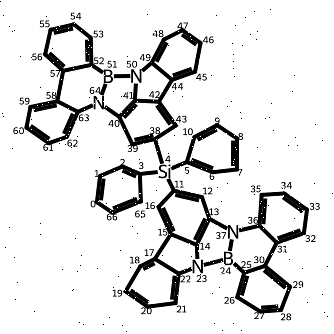 c1ccc([Si](c2ccccc2)(c2cc3c4c(c2)c2ccccc2n4B2c4ccccc4-c4ccccc4N23)c2cc3c4c(c2)c2ccccc2n4B2c4ccccc4-c4ccccc4N23)cc1